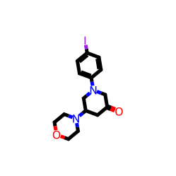 O=C1CC(N2CCOCC2)CN(c2ccc(I)cc2)C1